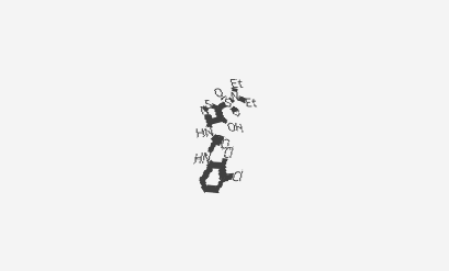 CCN(CC)S(=O)(=O)c1snc(NC(=O)Nc2cccc(Cl)c2Cl)c1O